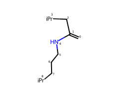 C=C(CC(C)C)NCCCC(C)C